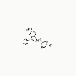 Oc1ccc2c(c1)c(-c1ccccc1)cn2Sc1cccc(F)c1